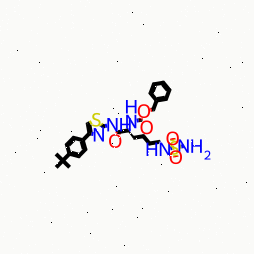 CC(C)(C)c1ccc(-c2csc(NC(=O)[C@H](CCCCNS(N)(=O)=O)NC(=O)OCc3ccccc3)n2)cc1